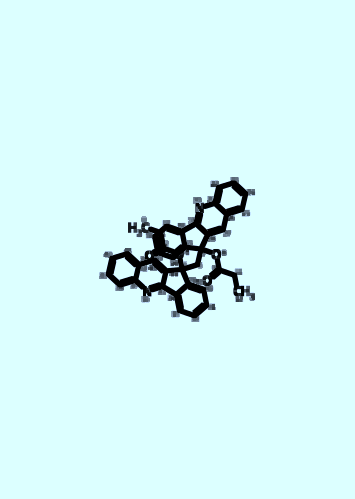 CCC(=O)OC1(CC2(OC(=O)CC)c3ccccc3-c3nc4ccccc4cc32)c2ccccc2-c2nc3ccccc3cc21